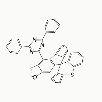 c1ccc(-c2nc(-c3ccccc3)nc(-c3c4c(cc5occc35)C3(c5ccccc5Sc5ccccc53)c3ccccc3-4)n2)cc1